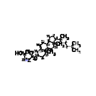 CC(C)CCCC(C)C1CCC2C3CC=C4CC(OC(=O)/C=C\C(=O)O)CCC4(C)C3CCC12C